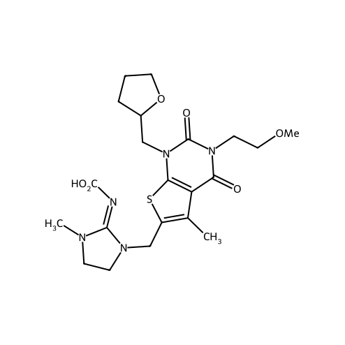 COCCn1c(=O)c2c(C)c(CN3CCN(C)C3=NC(=O)O)sc2n(CC2CCCO2)c1=O